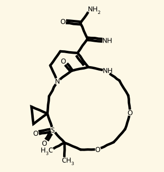 CC1(C)COCCOCCNC2=C(C(=N)C(N)=O)CCN(CC3(CC3)S1(=O)=O)C2=O